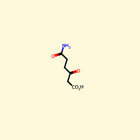 NC(=O)CCC(=O)CC(=O)O